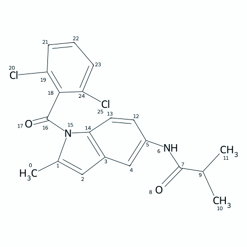 Cc1cc2cc(NC(=O)C(C)C)ccc2n1C(=O)c1c(Cl)cccc1Cl